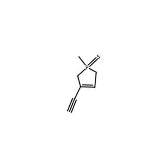 C#CC1=CCP(C)(=S)C1